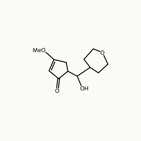 COC1=CC(=O)C(C(O)C2CCOCC2)C1